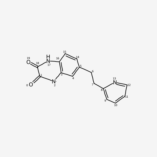 O=C1[N]c2cc(CCc3ccccn3)ccc2NC1=O